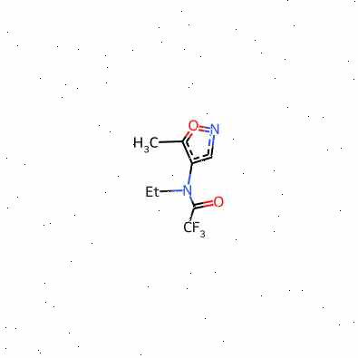 CCN(C(=O)C(F)(F)F)c1cnoc1C